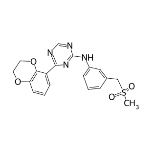 CS(=O)(=O)Cc1cccc(Nc2ncnc(-c3cccc4c3OCCO4)n2)c1